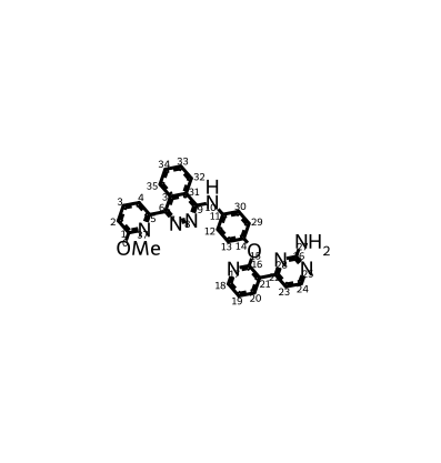 COc1cccc(-c2nnc(Nc3ccc(Oc4ncccc4-c4ccnc(N)n4)cc3)c3ccccc23)n1